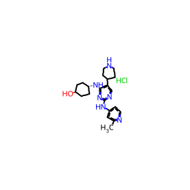 Cc1cc(Nc2ncc(C3CCNCC3)c(N[C@H]3CC[C@H](O)CC3)n2)ccn1.Cl